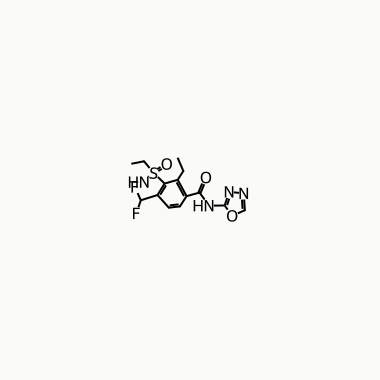 CCc1c(C(=O)Nc2nnco2)ccc(C(F)F)c1S(=N)(=O)CC